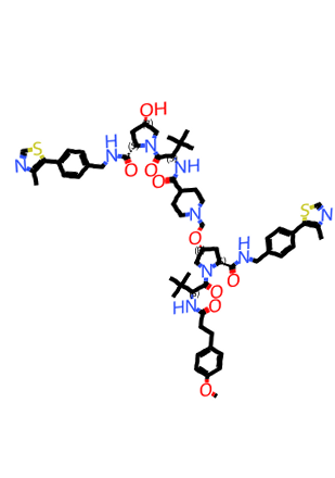 COc1ccc(CCC(=O)N[C@H](C(=O)N2C[C@H](OCN3CCC(C(=O)N[C@H](C(=O)N4C[C@H](O)C[C@H]4C(=O)NCc4ccc(-c5scnc5C)cc4)C(C)(C)C)CC3)C[C@H]2C(=O)NCc2ccc(-c3scnc3C)cc2)C(C)(C)C)cc1